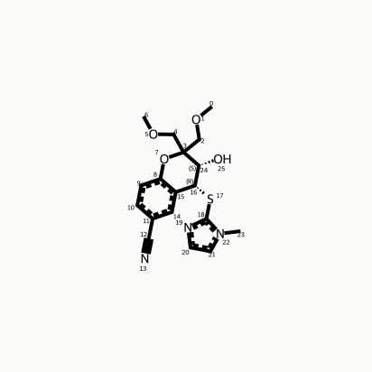 COCC1(COC)Oc2ccc(C#N)cc2[C@@H](Sc2nccn2C)[C@H]1O